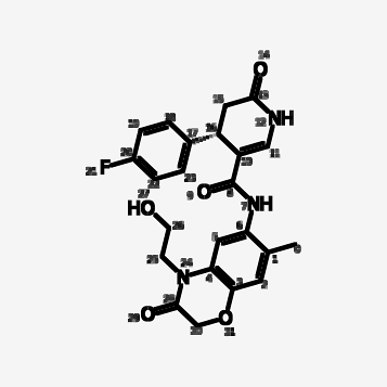 Cc1cc2c(cc1NC(=O)C1=CNC(=O)C[C@H]1c1ccc(F)cc1)N(CCO)C(=O)CO2